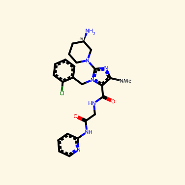 CNc1nc(N2CCC[C@@H](N)C2)n(Cc2ccccc2Cl)c1C(=O)NCC(=O)Nc1ccccn1